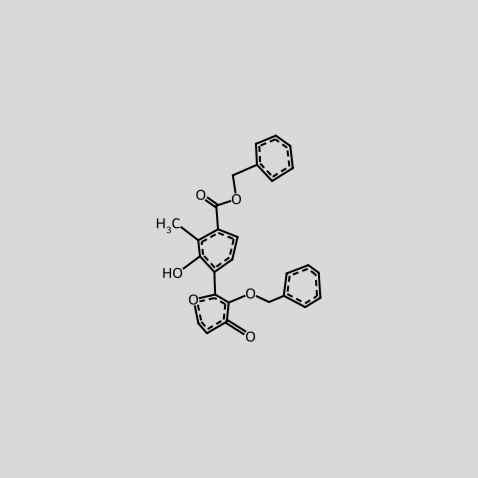 Cc1c(C(=O)OCc2ccccc2)ccc(-c2occc(=O)c2OCc2ccccc2)c1O